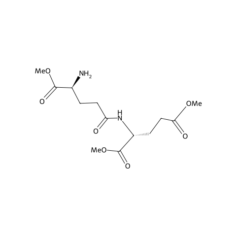 COC(=O)CC[C@@H](NC(=O)CC[C@H](N)C(=O)OC)C(=O)OC